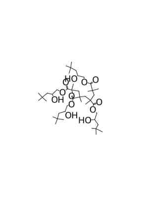 CC(C)(C)CC(O)COC(=O)C(C)(C)CC(C)(CC(C)(CC(C)(C)C(=O)OCC(O)CC(C)(C)C)C(=O)OCC(O)CC(C)(C)C)C(=O)OCC(O)CC(C)(C)C